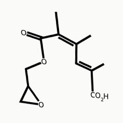 CC(=CC(C)=C(C)C(=O)OCC1CO1)C(=O)O